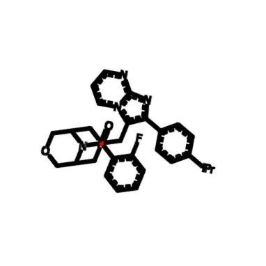 CC(C)c1ccc(-c2nc3ncccn3c2CN2CC3COCC(C2)N3C(=O)c2ccccc2F)cc1